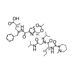 CC[C@H](C)[C@H](NC(=O)[C@H]1CCCCN1C)C(=O)N(CC(=O)NC(C)C)[C@H](C[C@@H](OC(C)=O)c1nc(C(=O)N[C@@H](Cc2ccccc2)C[C@H](C)C(=O)O)cs1)C(C)C